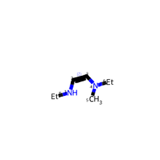 CCN/C=C\N(C)CC